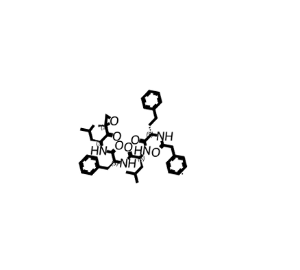 CC(C)C[C@H](NC(=O)[C@H](CCc1ccccc1)NC(=O)Cc1cc[c]cc1)C(=O)N[C@@H](Cc1ccccc1)C(=O)N[C@@H](CC(C)C)C(=O)[C@]1(C)CO1